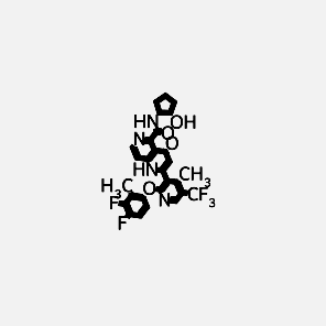 Cc1c(Oc2ncc(C(F)(F)F)c(C)c2-c2cc(=O)c3c(C(=O)N[C@@H]4CCC[C@@H]4O)nccc3[nH]2)ccc(F)c1F